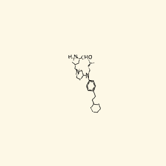 CC(C)=CCN(c1ccc(CCC2CCCCC2)cc1)C1CCN(CC(C)CC(N)C=O)C1